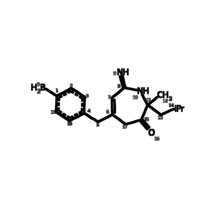 Bc1ccc(CC2=CC(=N)NC(C)(CC(C)C)C(=O)C2)cc1